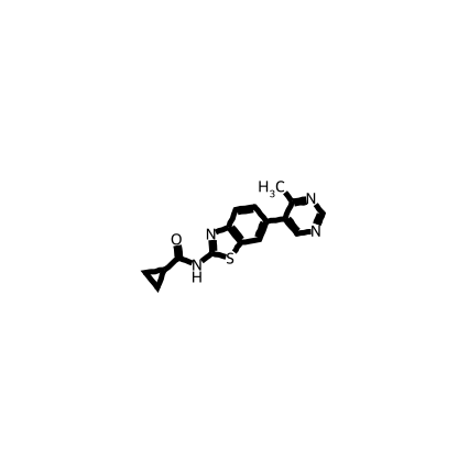 Cc1ncncc1-c1ccc2nc(NC(=O)C3CC3)sc2c1